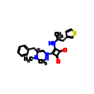 C[C@@H](Cc1ccsc1)Nc1c(NC[C@H](Cc2ccccc2)N(C)C)c(=O)c1=O